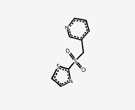 O=S(=O)(Cc1cccnc1)c1nccs1